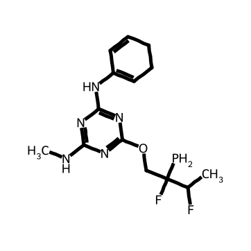 CNc1nc(NC2=CCCC=C2)nc(OCC(F)(P)C(C)F)n1